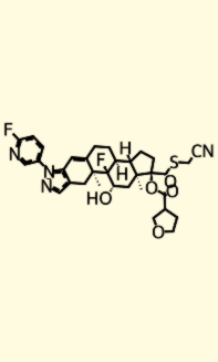 C[C@]12Cc3cnn(-c4ccc(F)nc4)c3C=C1CC[C@H]1[C@@H]3CC[C@](OC(=O)C4CCOC4)(C(=O)SCC#N)[C@@]3(C)C[C@H](O)[C@@]12F